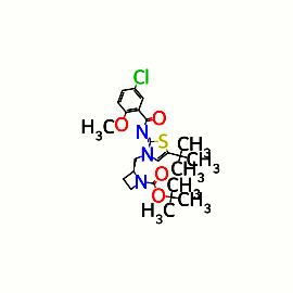 COc1ccc(Cl)cc1C(=O)N=c1sc(C(C)(C)C)cn1C[C@@H]1CCN1C(=O)OC(C)(C)C